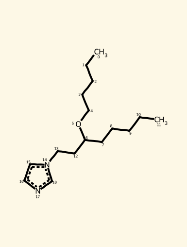 CCCCCOC(CCCCC)CCn1ccnc1